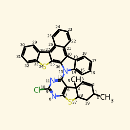 CC1C=CC2(C)c3c(nc(Cl)nc3-n3c4ccccc4c4c5ccccc5c5c6ccccc6sc5c43)SC2C1